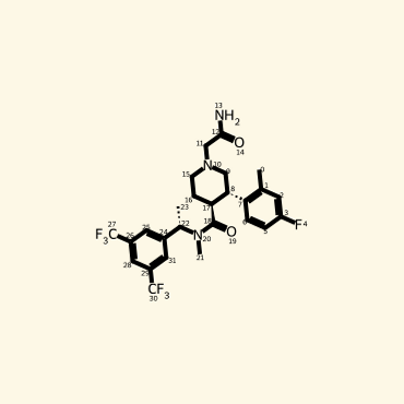 Cc1cc(F)ccc1[C@H]1CN(CC(N)=O)CC[C@@H]1C(=O)N(C)[C@@H](C)c1cc(C(F)(F)F)cc(C(F)(F)F)c1